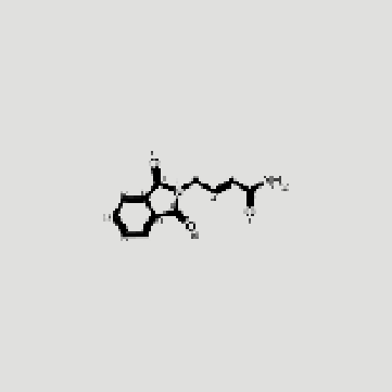 NC(=O)C=CCN1C(=O)c2ccccc2C1=O